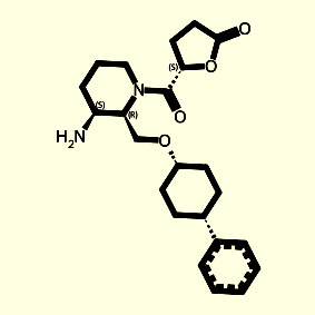 N[C@H]1CCCN(C(=O)[C@@H]2CCC(=O)O2)[C@H]1CO[C@H]1CC[C@@H](c2ccccc2)CC1